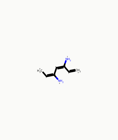 C=C/C(N)=C\C(N)=C/C